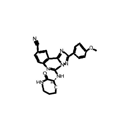 COc1ccc(-c2nc3c4cc(C#N)ccc4nc(N[C@@H]4CCCCNC4=O)n3n2)cc1